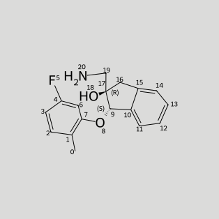 Cc1ccc(F)cc1O[C@H]1c2ccccc2C[C@@]1(O)CN